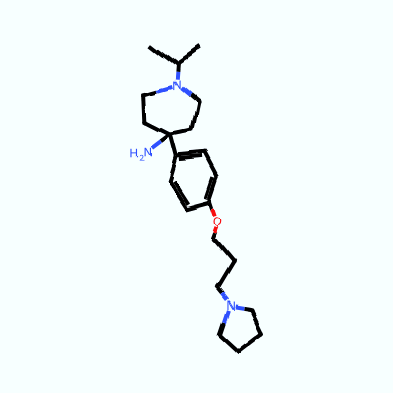 CC(C)N1CCC(N)(c2ccc(OCCCN3CCCC3)cc2)CC1